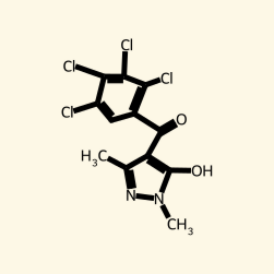 Cc1nn(C)c(O)c1C(=O)c1cc(Cl)c(Cl)c(Cl)c1Cl